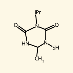 CC1NC(=O)N(C(C)C)C(=O)N1S